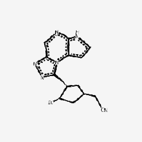 CC[C@@H]1CC(CC#N)C[C@@H]1c1nnc2cnc3[nH]ccc3n12